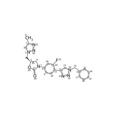 Cc1cn(C[C@H]2CN(c3ccc(-c4cn(Cc5ccccc5)nn4)c(F)c3)C(=O)O2)nn1